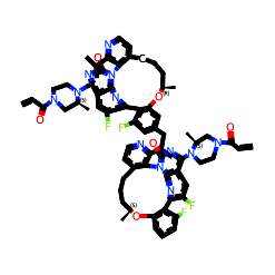 C=CC(=O)N1CCN(c2nc(=O)n3c4nc(c(F)cc24)-c2c(F)cc(CC(C)c4nccc5c4-n4c(=O)nc(N6CCN(C(=O)C=C)C[C@@H]6C)c6cc(F)c(nc64)-c4c(F)cccc4O[C@@H](C)CCC5)cc2O[C@H](C)CCCc2ccnc(C(C)C)c2-3)[C@@H](C)C1